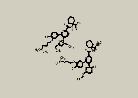 CCOc1ccc(Cl)c(-c2ccc(C(=O)NC3(C(=O)O)CCCCC3)nc2-c2ccc(Cl)c(OCCCN(C)C)c2)c1.CCc1cc(CC)n(-c2ccc(C(=O)NC3(C(=O)O)CCCCC3)nc2-c2ccc(Cl)c(OCCCN(C)C)c2)n1.Cl.Cl